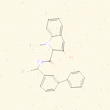 CC(NC(=O)C1C(O)=Cc2ccccc2N1C)c1cccc(-c2ccccc2)c1